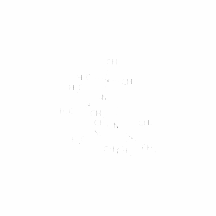 C[Si](C)(C)N(CN([Si](C)(C)C)[Si](C)(C)C)[Si](C)(C)C